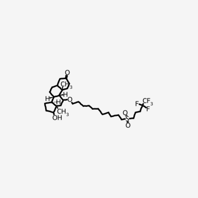 C[C@]12CCC(=O)CC1CC[C@@H]1[C@H]2C(OCCCCCCCCCCCS(=O)(=O)CCCC(F)(F)C(F)(F)F)C[C@]2(C)C(O)CC[C@@H]12